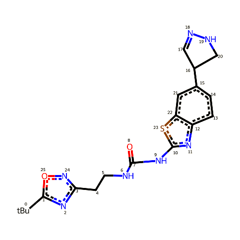 CC(C)(C)c1nc(CCNC(=O)Nc2nc3ccc(C4C=NNC4)cc3s2)no1